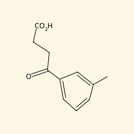 Cc1cccc(C(=O)CCC(=O)O)c1